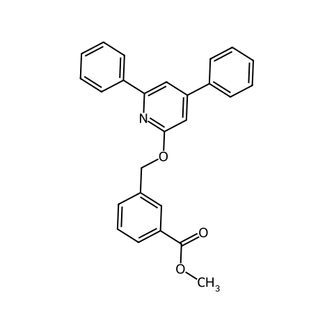 COC(=O)c1cccc(COc2cc(-c3ccccc3)cc(-c3ccccc3)n2)c1